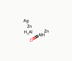 [Ag].[AlH3].[O]=[AlH].[Zn].[Zn]